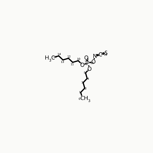 CCCCCCOP(=O)(OCCCCCC)ON=C=S